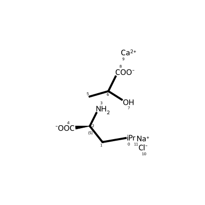 CC(C)C[C@H](N)C(=O)[O-].CC(O)C(=O)[O-].[Ca+2].[Cl-].[Na+]